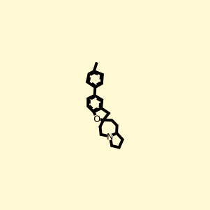 Cc1ccc(-c2ccc3c(c2)CC2(CCC4CCCN4CC2)O3)cc1